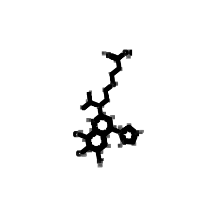 CC(C)N(CCOCCC(=O)O)c1cc(-n2cncn2)c2cc(Br)c(Cl)c(Cl)c2n1